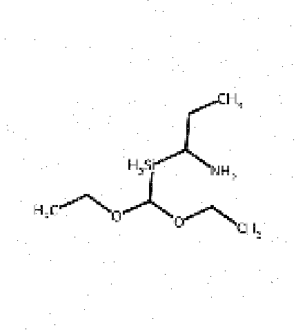 CCOC(OCC)[SiH2]C(N)CC